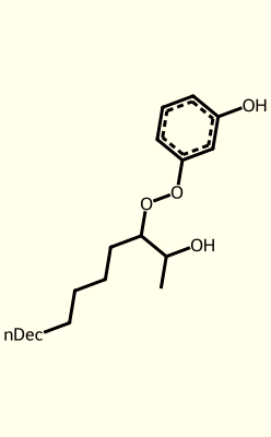 CCCCCCCCCCCCCCC(OOc1cccc(O)c1)C(C)O